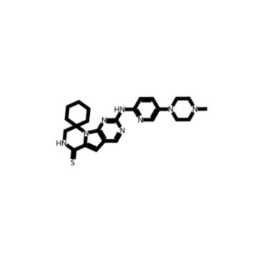 CN1CCN(c2ccc(Nc3ncc4cc5n(c4n3)C3(CCCCC3)CNC5=S)nc2)CC1